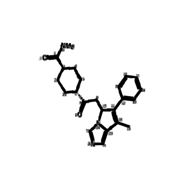 CNC(=O)[C@H]1CC[C@H](C(=O)CC2C(c3ccccc3)=C(C)c3cncn32)CC1